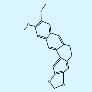 COc1cc2cc3c(cc2cc1OC)-c1cc2c(cc1CC3)OCO2